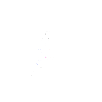 CC(C)(C)c1ccc(C(=O)Nc2cn3nc(N4CCCC4)ccc3n2)cc1.Cl.O